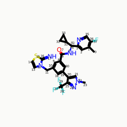 Cc1cc([C@@H](NC(=O)c2cc(Cn3ccsc3=N)cc(-c3cn(C)nc3C(F)(F)F)c2)C2CC2)ncc1F